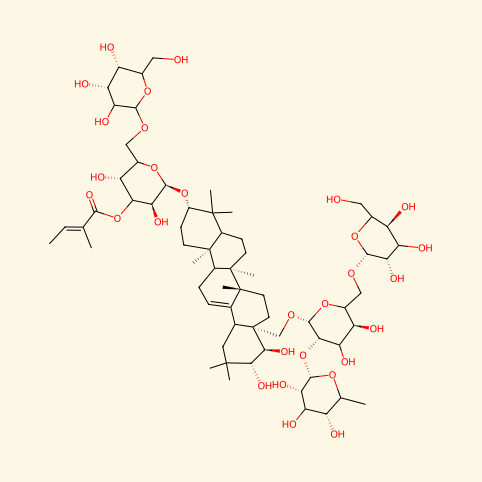 C/C=C(\C)C(=O)OC1[C@H](O)C(COC2OC(CO)[C@@H](O)[C@@H](O)C2O)O[C@@H](O[C@H]2CC[C@@]3(C)C(CC[C@]4(C)C3CC=C3C5CC(C)(C)[C@@H](O)[C@H](O)[C@]5(CO[C@@H]5OC(CO[C@@H]6OC(CO)[C@@H](O)C(O)[C@@H]6O)[C@@H](O)C(O)[C@@H]5O[C@@H]5OC(C)[C@H](O)C(O)[C@@H]5O)CC[C@]34C)C2(C)C)[C@H]1O